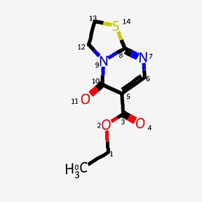 CCOC(=O)c1cnc2n(c1=O)CCS2